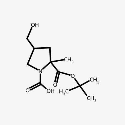 CC(C)(C)OC(=O)C1(C)CC(CO)CN1C(=O)O